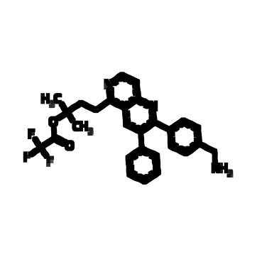 CC(C)(CCc1nccc2nc(-c3ccc(CN)cc3)c(-c3ccccc3)cc12)OC(=O)C(F)(F)F